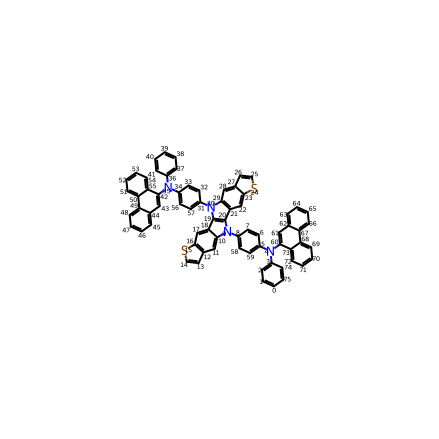 c1ccc(N(c2ccc(-n3c4cc5ccsc5cc4c4c3c3cc5sccc5cc3n4-c3ccc(N(c4ccccc4)c4cc5ccccc5c5ccccc45)cc3)cc2)c2cc3ccccc3c3ccccc23)cc1